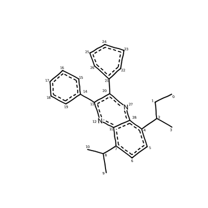 CCC(C)c1ccc(C(C)C)c2nc(-c3ccccc3)c(-c3ccccc3)nc12